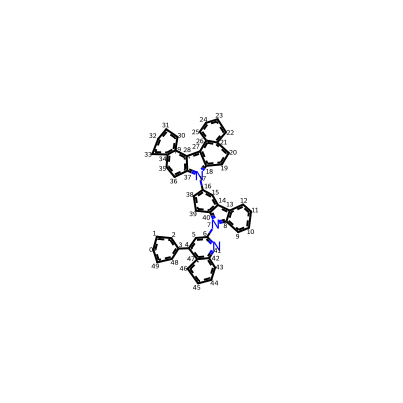 c1ccc(-c2cc(-n3c4ccccc4c4cc(-n5c6ccc7ccccc7c6c6c7ccccc7ccc65)ccc43)nc3ccccc23)cc1